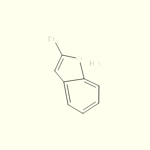 CCc1cc2ccccc2o1.S